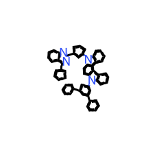 c1ccc(-c2cc(-c3ccccc3)cc(-n3c4ccccc4c4c5c6ccccc6n(-c6cccc(-c7nc(-c8ccccc8)c8ccccc8n7)c6)c5ccc43)c2)cc1